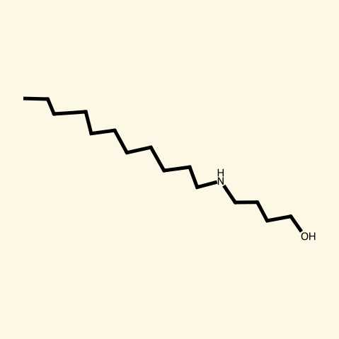 CCCCCCCCCCCNCCCCO